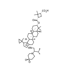 C[C@H](F)C(CN[C@]12CCC(C3(C)CC3)[C@@H]1[C@H]1CC[C@@H]3[C@@]4(C)CC[C@H](OC(=O)[C@H]5C[C@@H](C(=O)O)C5(C)C)C(C)(C)[C@@H]4CC[C@@]3(C)[C@]1(C)CC2)N1CCS(=O)(=O)CC1